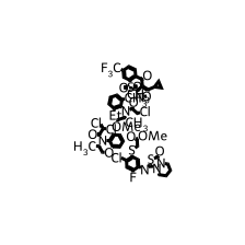 CC1COc2ccccc2N1C(=O)C(Cl)Cl.CCc1cccc(C)c1N(C(=O)CCl)C(C)COC.COC(=O)CSc1cc(/N=c2\sc(=O)n3n2CCCC3)c(F)cc1Cl.CS(=O)(=O)c1cc(C(F)(F)F)ccc1C(=O)c1cnoc1C1CC1